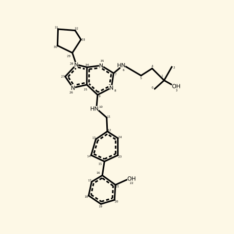 CC(C)(O)CCNc1nc(NCc2ccc(-c3ccccc3O)cc2)c2ncn(C3CCCC3)c2n1